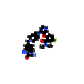 CCN(C(=O)c1cc(F)ccc1Oc1cncnc1N1CC2(CCN(CC3CC4CCC3CC43CNC(=O)N3)CC2)C1)C(C)C